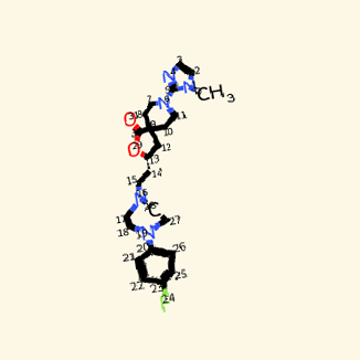 Cn1ccnc1N1CCC2(CC1)C[C@H](CCN1CCN(c3ccc(F)cc3)CC1)OC2=O